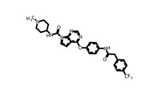 CN1CCC(NC(=O)n2ccc3c(Oc4ccc(NC(=O)Cc5ccc(C(F)(F)F)cc5)cc4)ncnc32)CC1